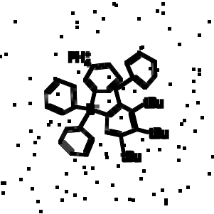 CC(C)(C)c1cc([B-](c2ccccc2)(c2ccccc2)c2ccccc2)c(Cc2ccccc2)c(C(C)(C)C)c1C(C)(C)C.[PH4+]